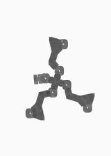 OC(OCC1CO1)(OCC1CO1)OCC1CO1